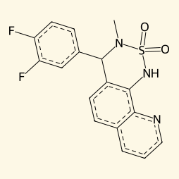 CN1C(c2ccc(F)c(F)c2)c2ccc3cccnc3c2NS1(=O)=O